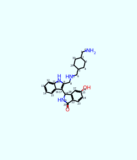 NCC1CCC(CNCc2[nH]c3ccccc3c2C2NC(=O)c3ccc(O)cc32)CC1